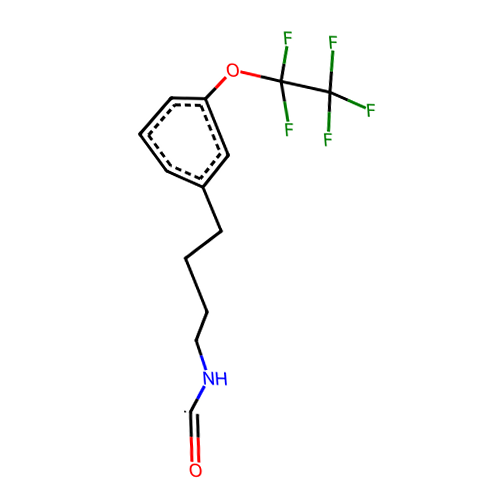 O=[C]NCCCCc1cccc(OC(F)(F)C(F)(F)F)c1